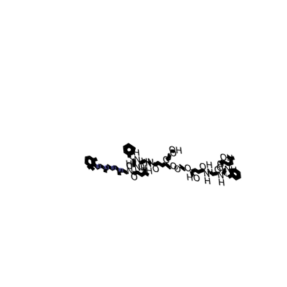 CC1=C(/C=C/C(C)=C/C=C/C(C)=C/CNC(=O)C(CC(C)C)NC(=O)[C@H](Cc2ccccc2)NC(=O)CNNC(=O)CCC(COOCCOC(CO)CCC(=O)NNCC(=O)N[C@@H](Cc2ccccc2)C(=O)NC(CC(C)C)C(=O)O)OCCOO)C(C)(C)CCC1